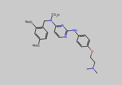 COc1ccc(CN(C(=O)O)c2ccnc(Nc3ccc(OCCN(C)C)cc3)n2)c(OC)c1